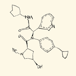 N#CN1C[C@H](O)C[C@@H]1C(=O)N(c1ccc(C2CC2)cc1)[C@@H](C(=O)NC1CCCC1)c1cccnc1